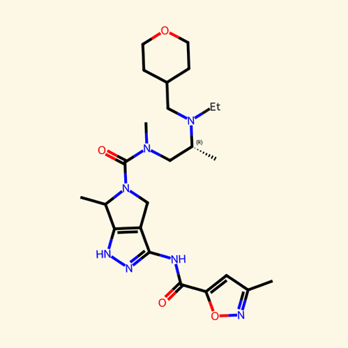 CCN(CC1CCOCC1)[C@H](C)CN(C)C(=O)N1Cc2c(NC(=O)c3cc(C)no3)n[nH]c2C1C